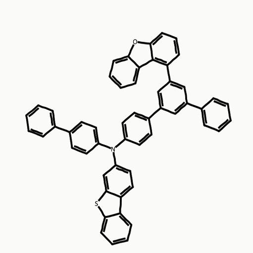 c1ccc(-c2ccc(N(c3ccc(-c4cc(-c5ccccc5)cc(-c5cccc6oc7ccccc7c56)c4)cc3)c3ccc4c(c3)sc3ccccc34)cc2)cc1